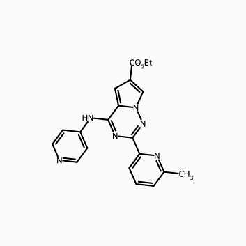 CCOC(=O)c1cc2c(Nc3ccncc3)nc(-c3cccc(C)n3)nn2c1